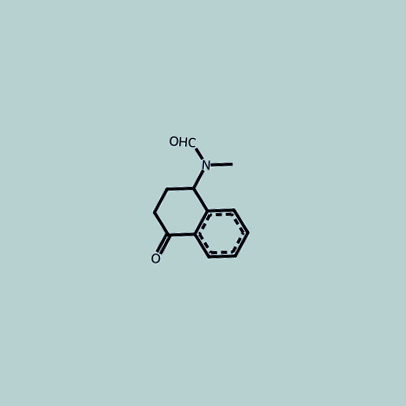 CN(C=O)C1CCC(=O)c2ccccc21